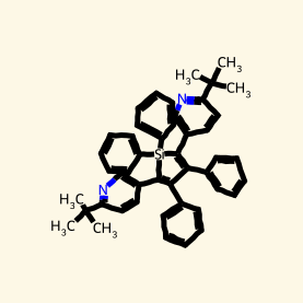 CC(C)(C)c1ccc(C2=C(c3ccccc3)C(c3ccccc3)=C(c3ccc(C(C)(C)C)nc3)[Si]2(c2ccccc2)c2ccccc2)cn1